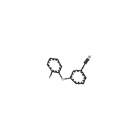 N#Cc1cccc(Oc2ccccc2F)c1